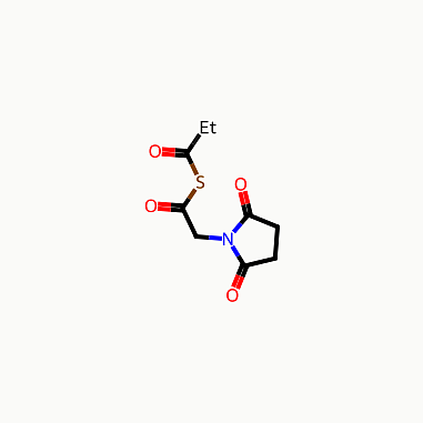 CCC(=O)SC(=O)CN1C(=O)CCC1=O